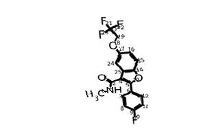 CNC(=O)c1c(-c2ccc(F)cc2)oc2ccc(OCC(F)(F)F)cc12